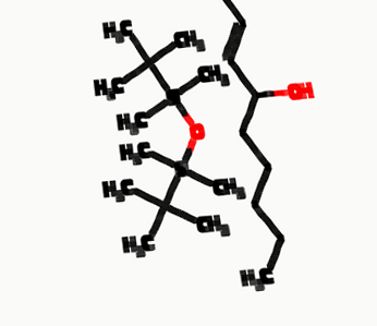 CC(C)(C)[Si](C)(C)O[Si](C)(C)C(C)(C)C.[Li][CH]=CC(O)CCCCC